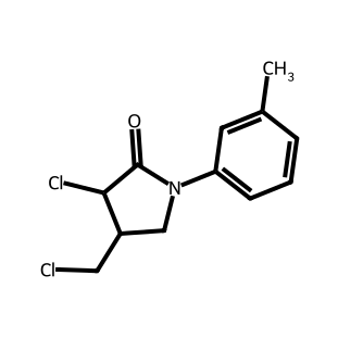 Cc1cccc(N2CC(CCl)C(Cl)C2=O)c1